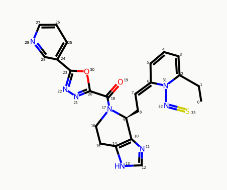 CCC1=CC=C/C(=C/C[C@H]2c3nc[nH]c3CCN2C(=O)c2nnc(-c3cccnc3)o2)N1N=S